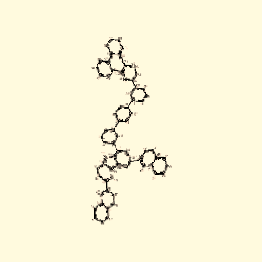 c1cc(-c2ccc(-c3cccc(-c4cc(-c5ccc6ccccc6c5)cc5c4sc4ccc(-c6ccc7ccccc7c6)cc45)c3)cc2)cc(-c2cnc3c4ccccc4c4ccccc4c3n2)c1